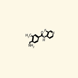 Cc1cc(C(=O)Nc2ccncc2F)ccc1CN